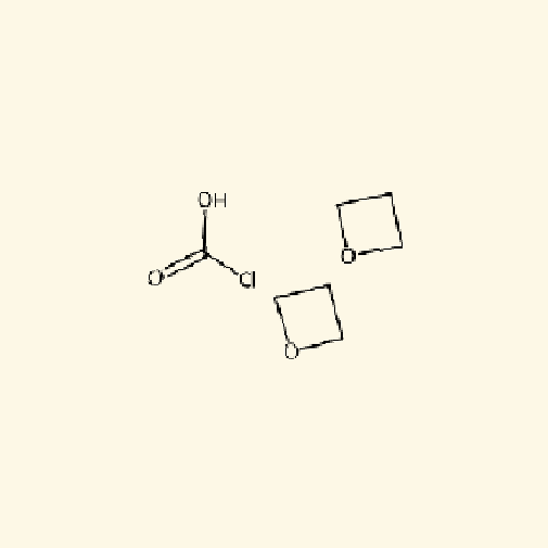 C1COC1.C1COC1.O=C(O)Cl